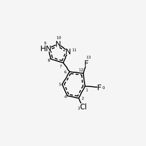 Fc1c(Cl)ccc(-c2c[nH]nn2)c1F